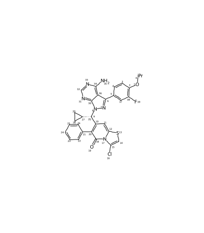 CC(C)Oc1ccc(-c2nn([C@H](c3cc4scc(Cl)n4c(=O)c3-c3ccccc3)C3CC3)c3ncnc(N)c23)cc1F